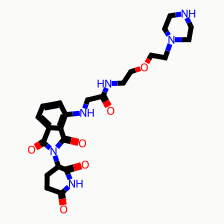 O=C(CNc1cccc2c1C(=O)N(C1CCC(=O)NC1=O)C2=O)NCCOCCN1CCNCC1